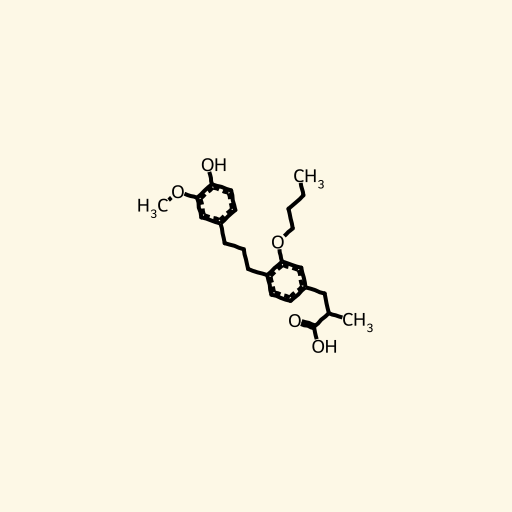 CCCCOc1cc(CC(C)C(=O)O)ccc1CCCc1ccc(O)c(OC)c1